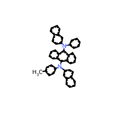 Cc1ccc(N(c2ccc3ccccc3c2)c2c3ccccc3c(N(c3ccccc3)c3ccc4ccccc4c3)c3ccccc23)cc1